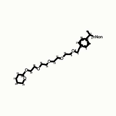 CCCCCCCCCC(C)c1ccc(COCCOCCOCCOCCOC2CCCCO2)cc1